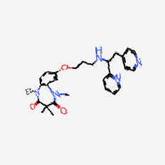 CCN1C(=O)C(C)(C)C(=O)N(C)c2cc(OCCCNC(Cc3ccncc3)c3ccccn3)ccc21